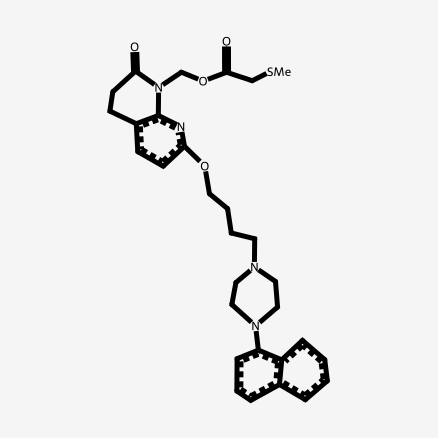 CSCC(=O)OCN1C(=O)CCc2ccc(OCCCCN3CCN(c4cccc5ccccc45)CC3)nc21